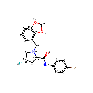 O=C(Nc1ccc(Br)cc1)[C@H]1C[C@H](F)CN1Cc1cccc2c1OCO2